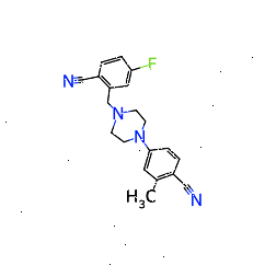 Cc1cc(N2CCN(Cc3cc(F)ccc3C#N)CC2)ccc1C#N